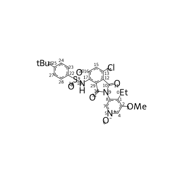 CCc1c(OC)c[n+]([O-])cc1N1C(=O)c2c(Cl)ccc(NS(=O)(=O)c3ccc(C(C)(C)C)cc3)c2C1=O